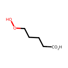 O=C(O)CCCCOO